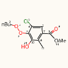 CCCCOOc1c(Cl)cc(C(=O)OC)c(C)c1O